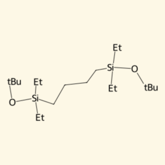 CC[Si](CC)(CCCC[Si](CC)(CC)OC(C)(C)C)OC(C)(C)C